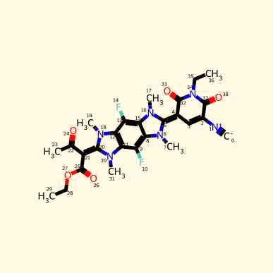 [C-]#[N+]C1=CC(=C2N(C)c3c(F)c4c(c(F)c3N2C)N(C)C(=C(C(C)=O)C(=O)OCC)N4C)C(=O)N(CC)C1=O